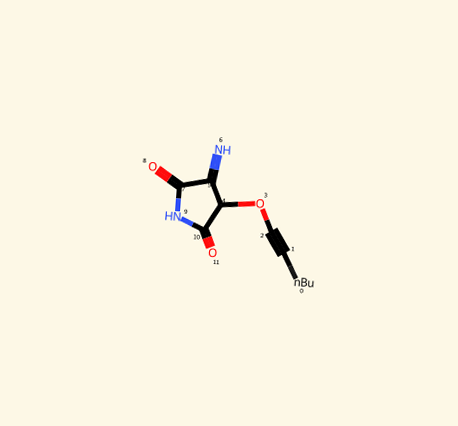 CCCCC#COC1C(=N)C(=O)NC1=O